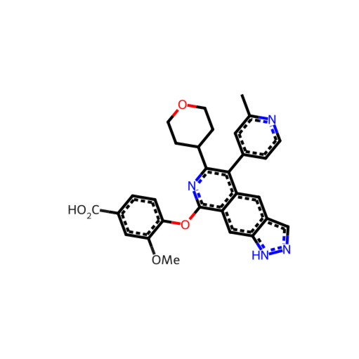 COc1cc(C(=O)O)ccc1Oc1nc(C2CCOCC2)c(-c2ccnc(C)c2)c2cc3cn[nH]c3cc12